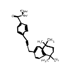 CC1(C)CCC(C)(C)c2cc(CC#Cc3ccc(C(=O)NO)cc3)ccc21